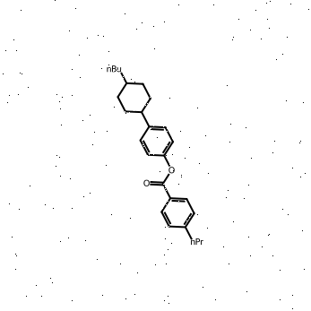 CCCCC1CCC(c2ccc(OC(=O)c3ccc(CCC)cc3)cc2)CC1